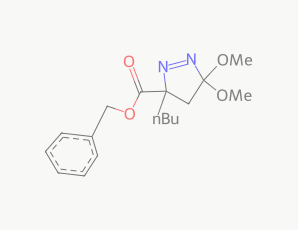 CCCCC1(C(=O)OCc2ccccc2)CC(OC)(OC)N=N1